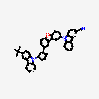 CC(C)(C)c1ccc2c(c1)c1ccccc1n2-c1cccc(-c2ccc3oc4ccc(-n5c6ccccc6c6cc(C#N)ccc65)cc4c3c2)c1